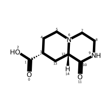 O=C(O)[C@@H]1CCN2CCNC(=O)[C@@H]2C1